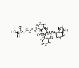 CCC(Nc1ncnc2[nH]cnc12)c1nc2cccc(CCCCCC(=O)NO)c2c(=O)n1-c1ccccc1